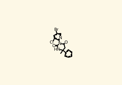 CC1(c2ccccc2)CC(=O)N(c2ncc(Br)cc2Cl)C(=O)N1